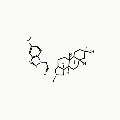 COc1ccc2c(c1)nnn2CC(=O)[C@H]1[C@H](C)C[C@H]2[C@@H]3CC[C@H]4C[C@](C)(O)CC[C@]4(C)[C@H]3CC[C@@]21C